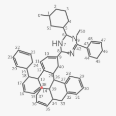 CC1CCCC(C2NC(C3=CC=C(C4C=CC=CC4C4C=CC=CC4)C(C4c5ccccc5CC5C=CCCC54)C3)N=C(C3=CCCC=C3)N2C)C1